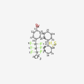 FC(F)(F)C(F)(F)C(F)(F)C(F)(F)c1ccc(Br)cc1.S.c1ccc(-c2ccccc2)cc1